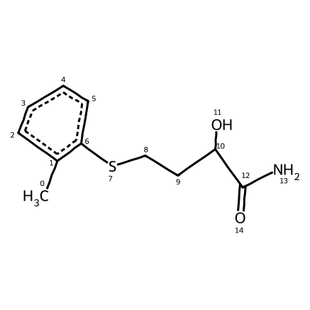 Cc1ccccc1SCCC(O)C(N)=O